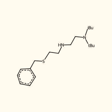 CCC(C)N(CCNCCSCc1ccccc1)C(C)(C)C